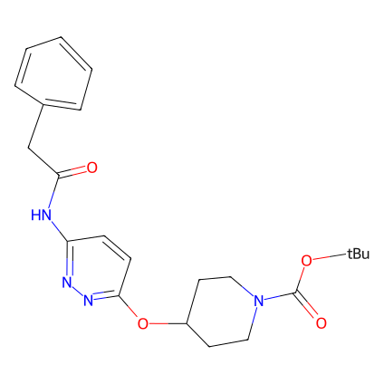 CC(C)(C)OC(=O)N1CCC(Oc2ccc(NC(=O)Cc3ccccc3)nn2)CC1